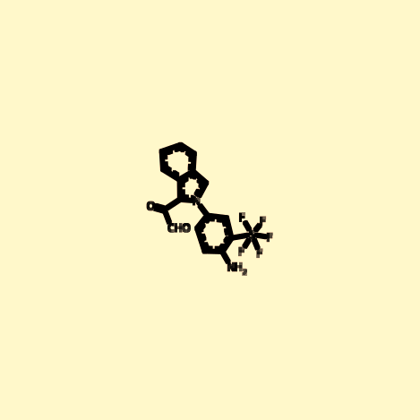 Nc1ccc(-n2cc3ccccc3c2C(=O)C=O)cc1S(F)(F)(F)(F)F